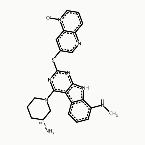 CNc1cccc2c1[nH]c1nc(Sc3cnc4ccc[n+]([O-])c4c3)nc(N3CCC[C@@H](N)C3)c12